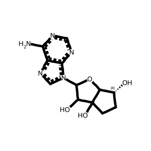 Nc1ncnc2c1ncn2C1OC2[C@H](O)CCC2(O)C1O